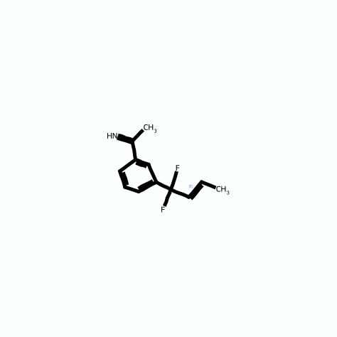 C/C=C/C(F)(F)c1cccc(C(C)=N)c1